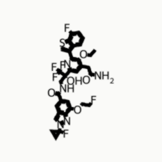 CCOc1c(CC(N)=O)cc([C@@](O)(CNC(=O)c2cc(OCCF)c3nn(C4(F)CC4)cc3c2)C(F)(F)F)nc1-c1csc2c(F)cccc12